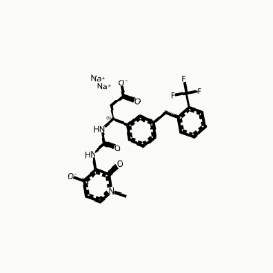 Cn1ccc([O-])c(NC(=O)N[C@@H](CC(=O)[O-])c2cccc(Cc3ccccc3C(F)(F)F)c2)c1=O.[Na+].[Na+]